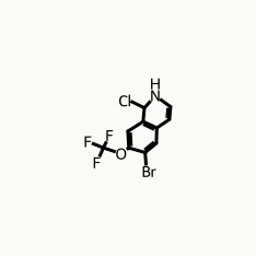 FC(F)(F)Oc1cc2c(cc1Br)C=CNC2Cl